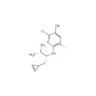 C[C@H](N)[C@@H](CC1C=C1)Nc1nc(Cl)c(C#N)cc1F